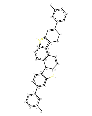 Cc1cccc(C2=Cc3sc4ccc5c(c4c3CC2)C=CC2Sc3cc(-c4cccc(C)c4)ccc3C52)c1